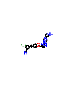 CC(C)(c1ccc(OCc2ccnc(N3CCN(C4CCNC4)CC3)n2)cc1)c1cc(Cl)cc(C#N)c1